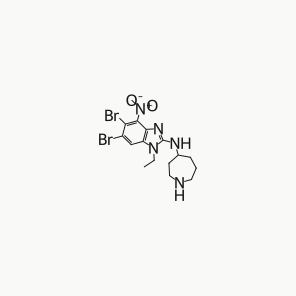 CCn1c(NC2CCCNCC2)nc2c([N+](=O)[O-])c(Br)c(Br)cc21